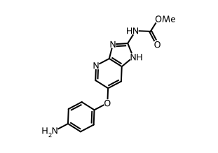 COC(=O)Nc1nc2ncc(Oc3ccc(N)cc3)cc2[nH]1